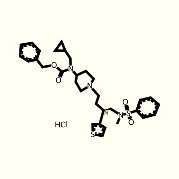 CN(C[C@H](CCN1CCC(N(CC2CC2)C(=O)OCc2ccccc2)CC1)c1ccsc1)S(=O)(=O)c1ccccc1.Cl